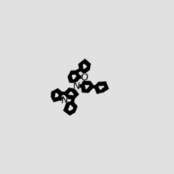 c1ccc(-c2ccc(N(c3cc4c5ccccc5n5c6ccccc6c(c3)c45)c3cccc4c3oc3ccccc34)cc2)cc1